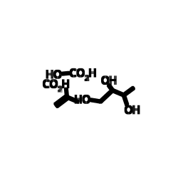 C=C(C)C(=O)O.CC(O)C(O)CO.O=C(O)O